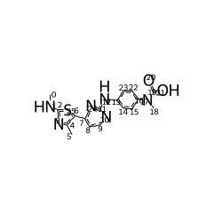 CNc1nc(C)c(-c2ccnc(Nc3ccc(N(C)C(=O)O)cc3)n2)s1